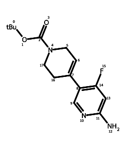 CC(C)(C)OC(=O)N1CC=C(c2cnc(N)cc2F)CC1